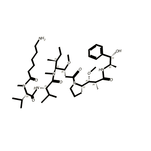 CC[C@H](C)[C@@H]([C@@H](CC(=O)N1CCC[C@H]1[C@H](OC)[C@@H](C)C(=O)N[C@H](C)[C@@H](O)c1ccccc1)OC)N(C)C(=O)[C@@H](NC(=O)[C@H](C(C)C)N(C)C(=O)CCCCCN)C(C)C